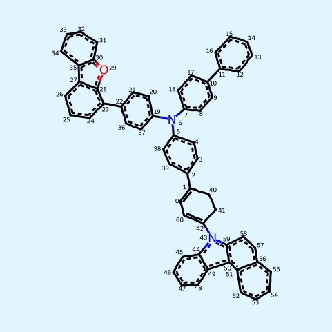 C1=C(c2ccc(N(c3ccc(-c4ccccc4)cc3)c3ccc(-c4cccc5c4oc4ccccc45)cc3)cc2)CCC(n2c3ccccc3c3c4ccccc4ccc32)=C1